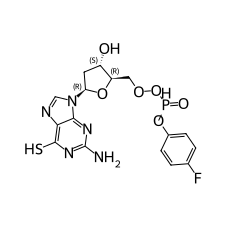 Nc1nc(S)c2ncn([C@H]3C[C@H](O)[C@@H](COO[PH](=O)Oc4ccc(F)cc4)O3)c2n1